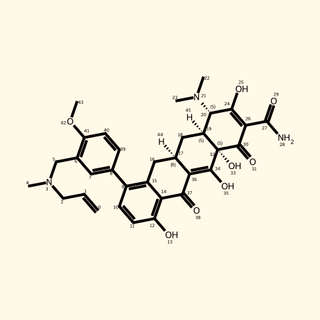 C=CCN(C)Cc1cc(-c2ccc(O)c3c2C[C@H]2C[C@H]4[C@H](N(C)C)C(O)=C(C(N)=O)C(=O)[C@@]4(O)C(O)=C2C3=O)ccc1OC